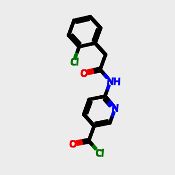 O=C(Cc1ccccc1Cl)Nc1ccc(C(=O)Cl)cn1